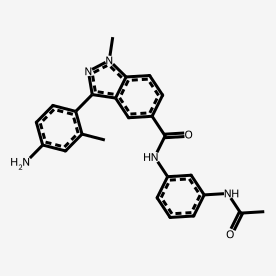 CC(=O)Nc1cccc(NC(=O)c2ccc3c(c2)c(-c2ccc(N)cc2C)nn3C)c1